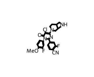 COc1ccc(-n2c(-c3ccc(C#N)c(F)c3)nc(N3CCC4CNCC4C3)c(Cl)c2=O)cc1F